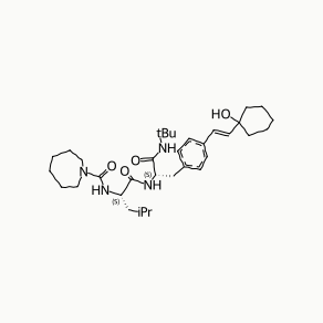 CC(C)C[C@H](NC(=O)N1CCCCCC1)C(=O)N[C@@H](Cc1ccc(C=CC2(O)CCCCC2)cc1)C(=O)NC(C)(C)C